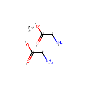 NCC(=O)[O-].NCC(=O)[O-].[Pb+2]